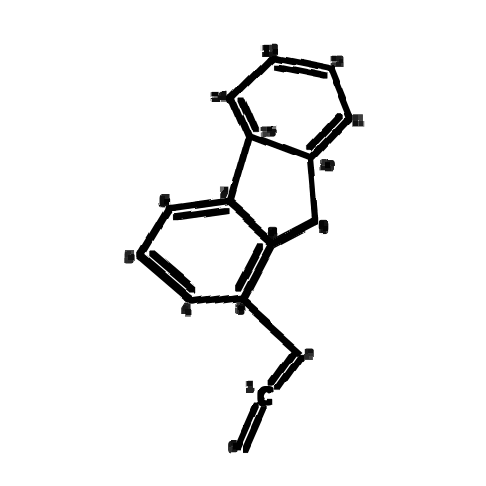 C=C=Cc1cccc2c1Cc1ccccc1-2